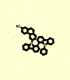 N#Cc1ccc2c(ccc3ccc(-n4c5ccccc5c5cccc(-c6cccc7c8ccccc8n(-c8ccccc8)c67)c54)cc32)c1